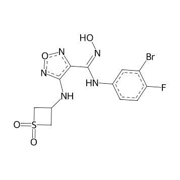 O=S1(=O)CC(Nc2nonc2C(=NO)Nc2ccc(F)c(Br)c2)C1